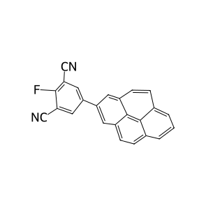 N#Cc1cc(-c2cc3ccc4cccc5ccc(c2)c3c45)cc(C#N)c1F